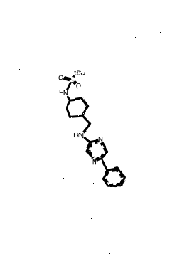 CC(C)(C)S(=O)(=O)NC1CCC(CNc2cnc(-c3ccccc3)cn2)CC1